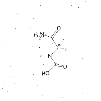 C[C@@H](C(N)=O)N(C)C(=O)O